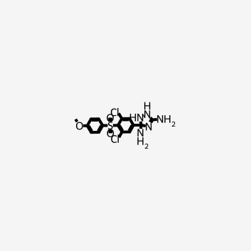 COc1ccc(S(=O)(=O)c2c(Cl)cc(C3(N)N=C(N)NN3)cc2Cl)cc1